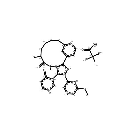 COc1cncc(-n2nc3c(c2-n2cnccc2=O)NC(=O)C(C)CCCCc2cc-3ccn2)n1.O=C(O)C(F)(F)F